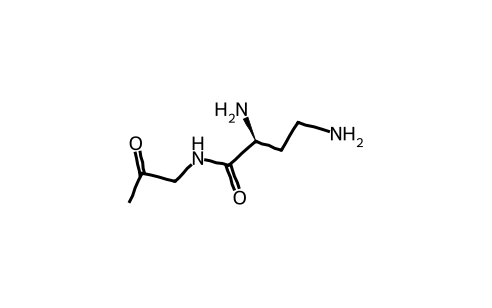 CC(=O)CNC(=O)[C@@H](N)CCN